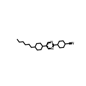 CCCCCCC1CCC(c2cnc(C3CCC(C#N)CC3)nc2)CC1